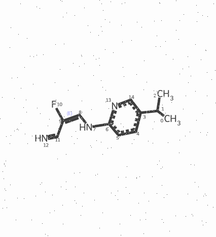 CC(C)c1ccc(N/C=C(/F)C=N)nc1